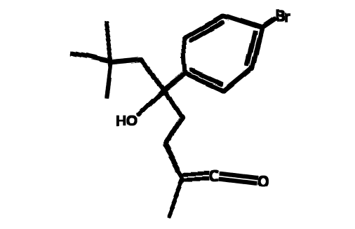 CC(=C=O)CCC(O)(CC(C)(C)C)c1ccc(Br)cc1